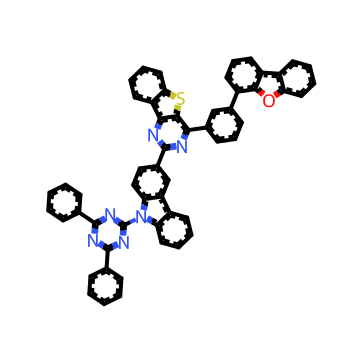 c1ccc(-c2nc(-c3ccccc3)nc(-n3c4ccccc4c4cc(-c5nc(-c6cccc(-c7cccc8c7oc7ccccc78)c6)c6sc7ccccc7c6n5)ccc43)n2)cc1